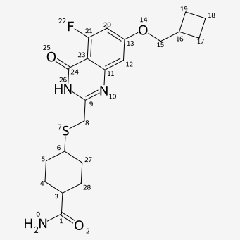 NC(=O)C1CCC(SCc2nc3cc(OCC4CCC4)cc(F)c3c(=O)[nH]2)CC1